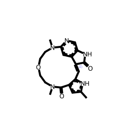 Cc1cc2c([nH]1)/C=C1\C(=O)Nc3cnc(cc31)N(C)CCOCCN(C)C2=O